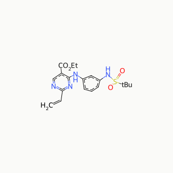 C=Cc1ncc(C(=O)OCC)c(Nc2cccc(NS(=O)(=O)C(C)(C)C)c2)n1